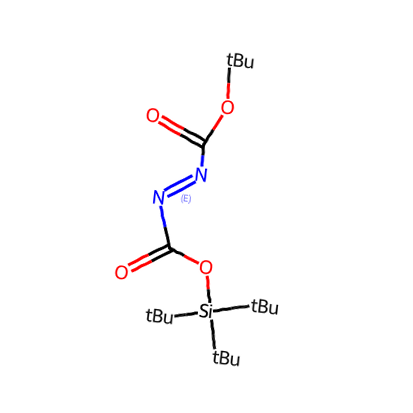 CC(C)(C)OC(=O)/N=N/C(=O)O[Si](C(C)(C)C)(C(C)(C)C)C(C)(C)C